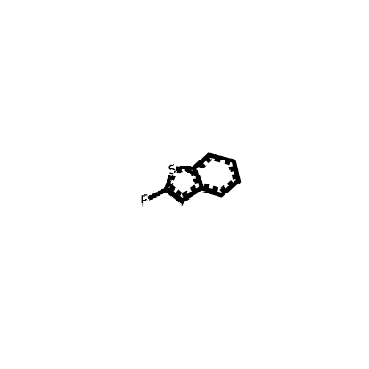 Fc1[c]c2ccccc2s1